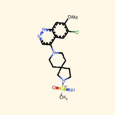 COc1cc2nncc(N3CCC4(CC3)CCN([S@@](C)(=N)=O)C4)c2cc1Cl